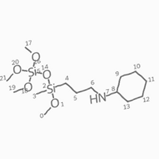 CO[Si](C)(CCCNC1CCCCC1)O[Si](OC)(OC)OC